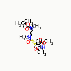 COC(=O)C(NC(C)=O)C(C)(C)SSC(=O)N(C)CCCN(C)C(=O)OC(C)(C)C